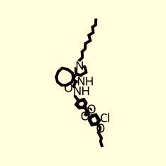 CCCCCCCCCCCN1CCC2NC(C(=O)NCc3ccc(S(=O)(=O)c4ccc(OCCCC)c(Cl)c4)cc3)C3(CCCCCCCCC3)C2C1